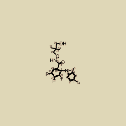 Cc1cc(I)ccc1Nc1c(C(=O)NOCC(C)(C)CO)cc(F)c(F)c1F